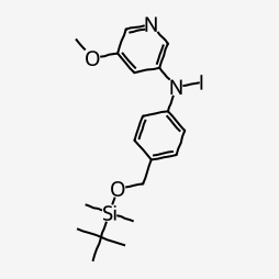 COc1cncc(N(I)c2ccc(CO[Si](C)(C)C(C)(C)C)cc2)c1